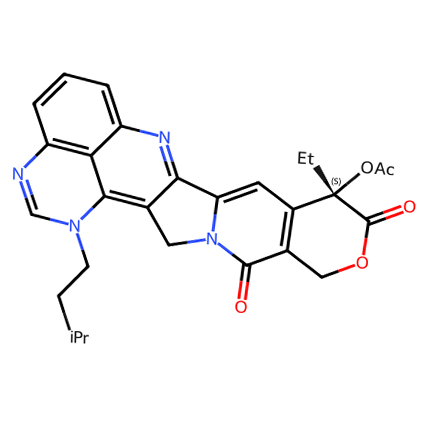 CC[C@@]1(OC(C)=O)C(=O)OCc2c1cc1n(c2=O)Cc2c-1nc1cccc3c1c2N(CCC(C)C)C=N3